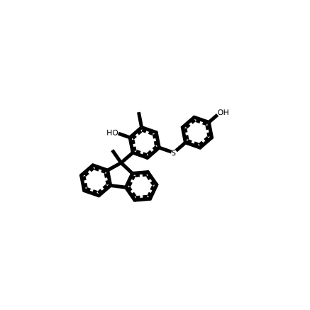 Cc1cc(Sc2ccc(O)cc2)cc(C2(C)c3ccccc3-c3ccccc32)c1O